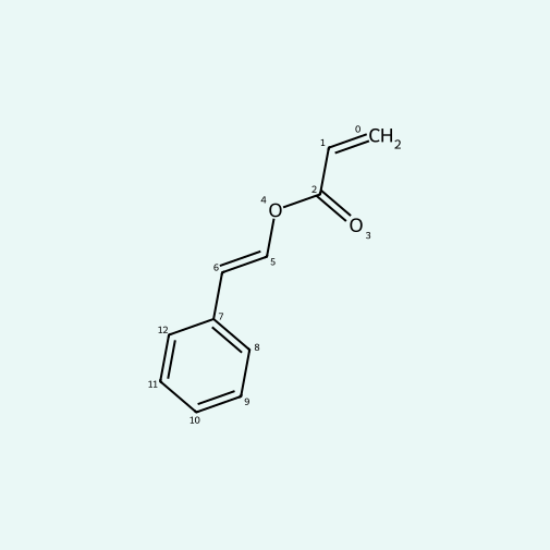 C=CC(=O)OC=Cc1ccccc1